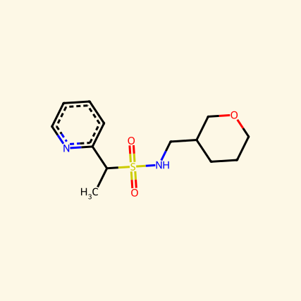 CC(c1ccccn1)S(=O)(=O)NCC1CCCOC1